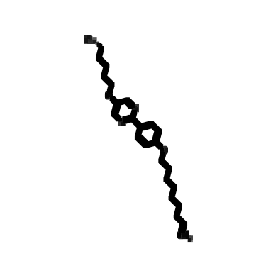 C=CCCCCCCCOc1ccc(-c2ncc(OCCCCC[C@@H](C)CC)cn2)cc1